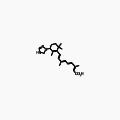 CC(C=CC1=C(C)C(N2CNC=N2)CCC1(C)C)=CC=CC(C)=CC(=O)O